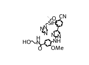 COc1cc(C(=O)NCCO)ccc1Nc1ncc(-c2ccc(C#N)c(O[C@@H](C)[SiH2]Cn3cncn3)c2)cn1